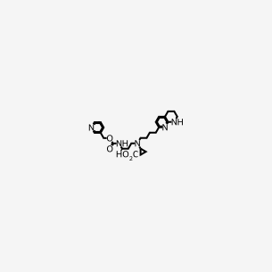 O=C(N[C@@H](CCN(CCCCc1ccc2c(n1)NCCC2)C1CC1)C(=O)O)OCc1cccnc1